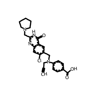 C#CCN(Cc1cc2c(=O)[nH]c(CN3CCCCC3)nc2cc1Cl)c1ccc(C(=O)O)cc1